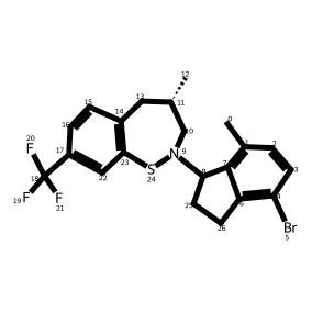 Cc1ccc(Br)c2c1C(N1C[C@@H](C)Cc3ccc(C(F)(F)F)cc3S1)CC2